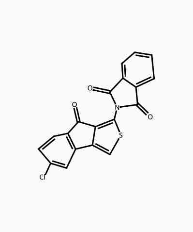 O=C1c2ccc(Cl)cc2-c2csc(N3C(=O)c4ccccc4C3=O)c21